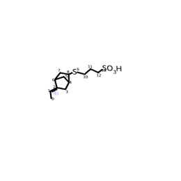 C/C=C1\CC2CC1CC2SCCCS(=O)(=O)O